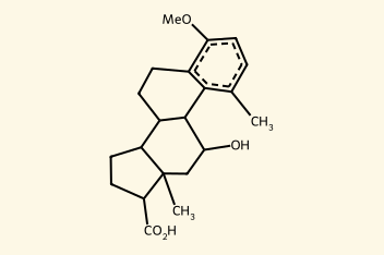 COc1ccc(C)c2c1CCC1C2C(O)CC2(C)C(C(=O)O)CCC12